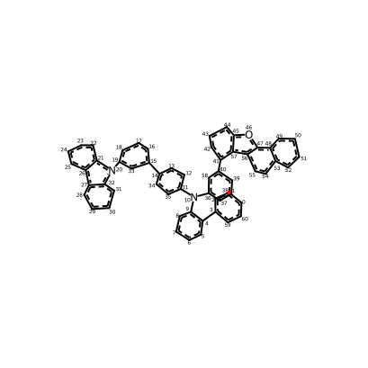 c1ccc(-c2ccccc2N(c2ccc(-c3cccc(-n4c5ccccc5c5ccccc54)c3)cc2)c2cccc(-c3cccc4oc5c6ccccc6ccc5c34)c2)cc1